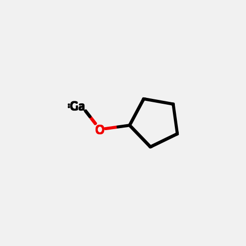 [Ga][O]C1CCCC1